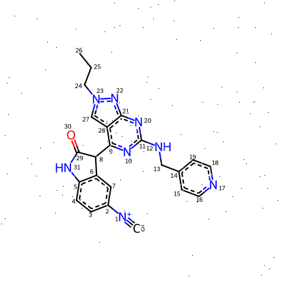 [C-]#[N+]c1ccc2c(c1)C(c1nc(NCc3ccncc3)nc3nn(CCC)cc13)C(=O)N2